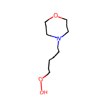 OOCCCN1CCOCC1